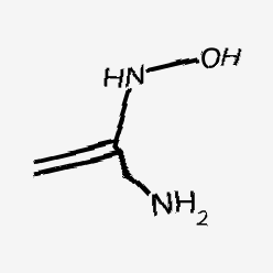 C=C(N)NO